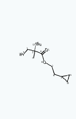 CC(C)CC(C)(C(=O)OCCC1CC1)C(C)(C)C